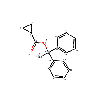 CC(C)(C)[Si](OC(=O)C1CC1)(c1ccccc1)c1ccccc1